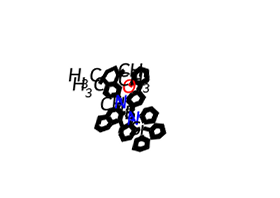 Cc1cc2c(cc1N1c3cc4ccccc4c4c3B(c3ccc5c(oc6ccccc65)c31)N1c3ccccc3[Si](c3ccccc3)(c3ccccc3)c3cccc-4c31)C(C)(C)CCC2(C)C